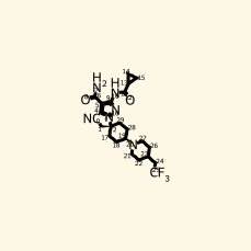 N#CC[C@]1(n2cc(C(N)=O)c(NC(=O)C3CC3)n2)CC[C@H](N2CCC(CC(F)(F)F)CC2)CC1